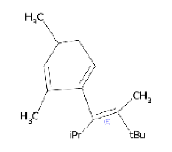 CC1=CC(C)CC=C1/C(=C(\C)C(C)(C)C)C(C)C